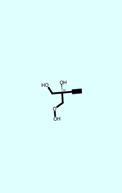 C#C[C@](O)(CO)COO